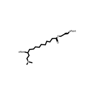 CCCCCC=CCOC(=O)CCCCCCCCCC(CCCCCCCCC)CCN(C)C